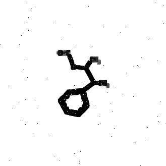 CC(O[C]=O)C(C)c1ccccc1